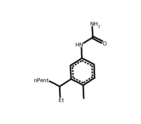 CCCCCC(CC)c1cc(NC(N)=O)ccc1C